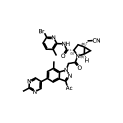 CC(=O)c1nn(CC(=O)N2[C@H](C(=O)Nc3nc(Br)ccc3C)C[C@@]3(CC#N)C[C@@H]23)c2c(C)cc(-c3cnc(C)nc3)cc12